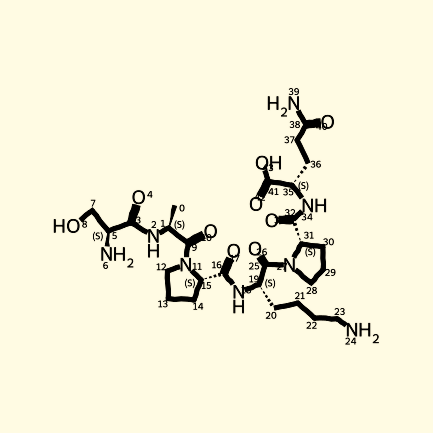 C[C@H](NC(=O)[C@@H](N)CO)C(=O)N1CCC[C@H]1C(=O)N[C@@H](CCCCN)C(=O)N1CCC[C@H]1C(=O)N[C@@H](CCC(N)=O)C(=O)O